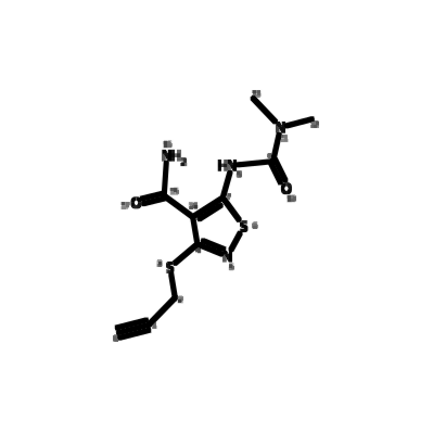 C#CCSc1nsc(NC(=O)N(C)C)c1C(N)=O